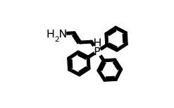 NC=CC[PH](c1ccccc1)(c1ccccc1)c1ccccc1